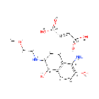 COCCNC1CCc2c(ccc(O)c2N)C1O.O=C(O)C=CC(=O)O